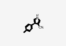 Cc1ccc(-c2c[nH]cc2C#N)cc1